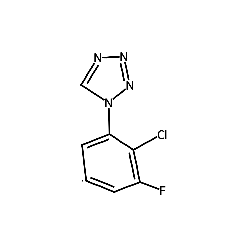 Fc1c[c]cc(-n2cnnn2)c1Cl